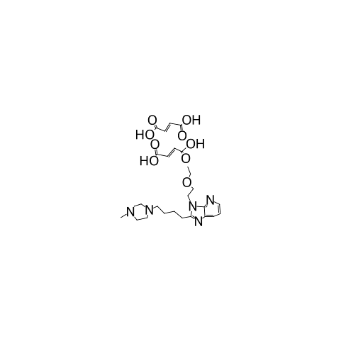 CCOCCn1c(CCCCN2CCN(C)CC2)nc2cccnc21.O=C(O)C=CC(=O)O.O=C(O)C=CC(=O)O